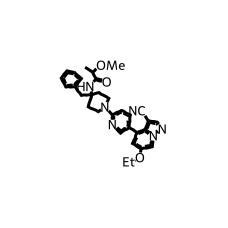 CCOc1cc(-c2ccc(N3CCC(Cc4ccccc4)(NC(=O)C(C)OC)CC3)nc2)c2c(C#N)cnn2c1